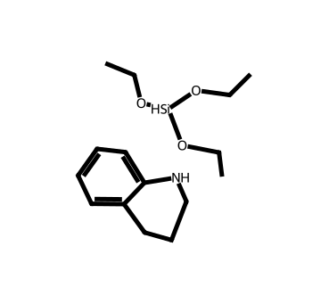 CCO[SiH](OCC)OCC.c1ccc2c(c1)CCCN2